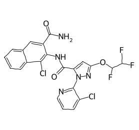 NC(=O)c1cc2ccccc2c(Cl)c1NC(=O)c1cc(OC(F)C(F)F)nn1-c1ncccc1Cl